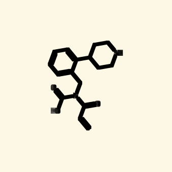 C=CC(=O)N(Cc1ccccc1C1CCNCC1)C(=O)O